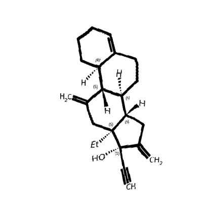 C#C[C@]1(O)C(=C)C[C@H]2[C@@H]3CCC4=CCCC[C@@H]4[C@H]3C(=C)C[C@@]21CC